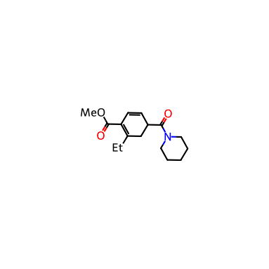 CCC1=C(C(=O)OC)C=CC(C(=O)N2CCCCC2)C1